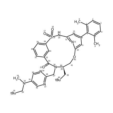 Cc1cccc(C)c1-c1cc2nc(n1)NS(=O)(=O)c1cccc(c1)C(=O)N(Cc1ncc(N(C)CC(C)(C)C)cn1)[C@H](CC(C)(C)C)CO2